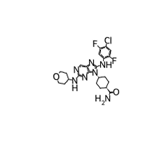 NC(=O)[C@H]1CC[C@H](n2c(Nc3cc(F)c(Cl)cc3F)nc3cnc(NC4CCOCC4)nc32)CC1